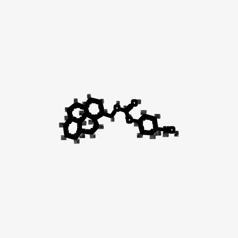 O=C(OCc1ccc2ccc3cccc4ccc1c2c34)Oc1ccc([N+](=O)[O-])cc1